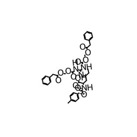 CCC(CC(NS(=O)(=O)c1ccc(C)cc1)C(=O)O)N=C(NC(=O)OCOC(=O)Cc1ccccc1)NC(=O)OCOC(=O)Cc1ccccc1